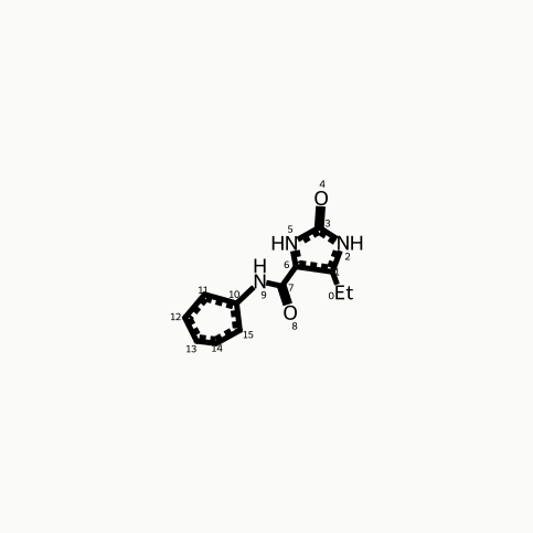 CCc1[nH]c(=O)[nH]c1C(=O)Nc1ccccc1